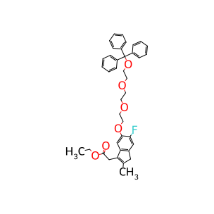 CCOC(=O)CC1=C(C)Cc2cc(F)c(OCCOCCOCCOC(c3ccccc3)(c3ccccc3)c3ccccc3)cc21